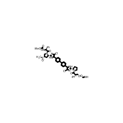 COC(=O)N[C@H](C(=O)N1C[C@@H]([S+](C)[O-])C[C@H]1c1nc(Cl)c(-c2ccc(-c3ccc(-c4[nH]c([C@@H]5CCCN5C(=O)[C@H](COOC=N)C(C)C)nc4Cl)cc3)cc2)[nH]1)C(C)C